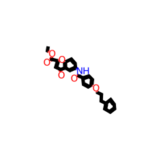 CCOC(=O)c1cc(=O)c2cc(NC(=O)c3ccc(OCCCc4ccccc4)cc3)ccc2o1